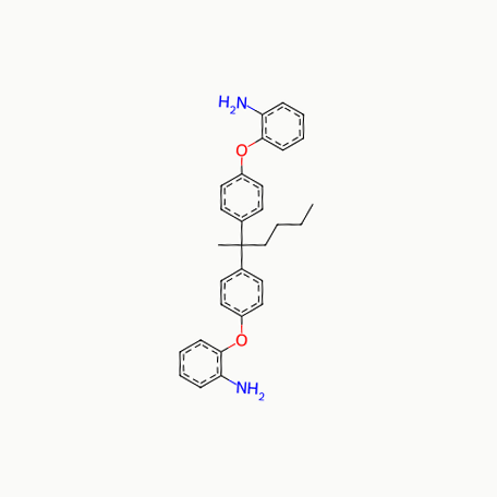 CCCCC(C)(c1ccc(Oc2ccccc2N)cc1)c1ccc(Oc2ccccc2N)cc1